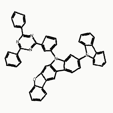 c1ccc(-c2nc(-c3ccccc3)nc(-c3cccc(-n4c5cc(-n6c7ccccc7c7ccccc76)ccc5c5cc6c(cc54)oc4ccccc46)c3)n2)cc1